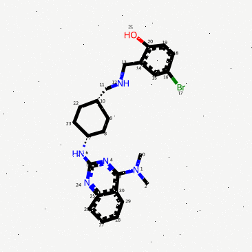 CN(C)c1nc(N[C@H]2CC[C@@H](CNCc3cc(Br)ccc3O)CC2)nc2ccccc12